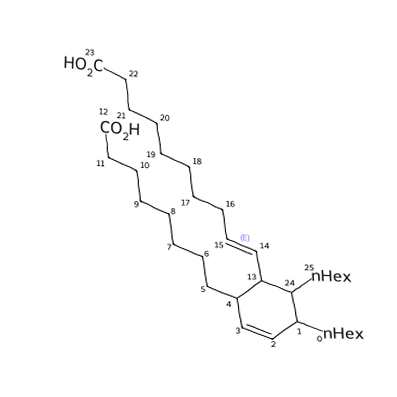 CCCCCCC1C=CC(CCCCCCCC(=O)O)C(/C=C/CCCCCCCC(=O)O)C1CCCCCC